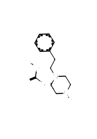 CC(=O)N1CCN(CCc2ccccc2)CC1.CC(C)(C)OC(N)=O